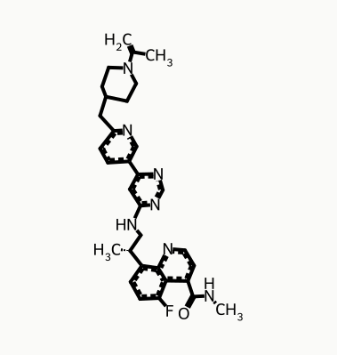 C=C(C)N1CCC(Cc2ccc(-c3cc(NC[C@@H](C)c4ccc(F)c5c(C(=O)NC)ccnc45)ncn3)cn2)CC1